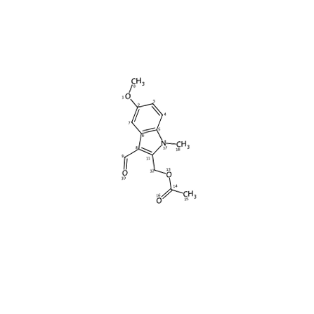 COc1ccc2c(c1)c(C=O)c(COC(C)=O)n2C